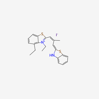 CCc1cccc2sc(C=C(C)C=C3Nc4ccccc4S3)[n+](CC)c12.[I-]